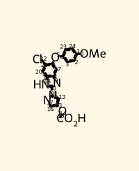 COc1ccc(Oc2cc3nc(-n4cc(OC(=O)O)cn4)[nH]c3cc2Cl)cc1